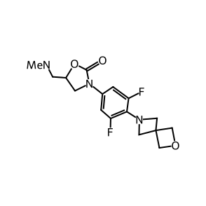 CNCC1CN(c2cc(F)c(N3CC4(COC4)C3)c(F)c2)C(=O)O1